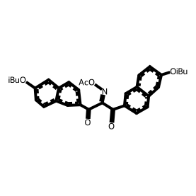 CC(=O)ON=C(C(=O)c1ccc2cc(OCC(C)C)ccc2c1)C(=O)c1ccc2cc(OCC(C)C)ccc2c1